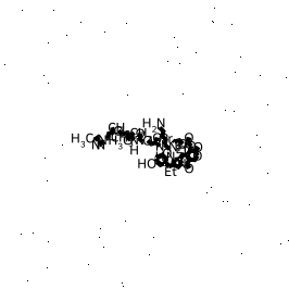 CCc1c2c(nc3ccc(O)cc13)-c1cc3c(c(=O)n1C2)COC(=O)C3(CC)OC(=O)OCC(NC(=O)C(CCCCN)NC(=O)COCC(=O)NC(C)(C)CCOC(C)(C)CCn1cc(C)nn1)C(C)C